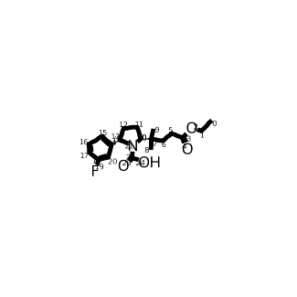 CCOC(=O)CCC(C)(C)[C@H]1CC[C@@H](c2cccc(F)c2)N1C(=O)O